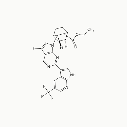 CCOC(=O)[C@@H]1C2CCC(CC2)[C@H]1n1cc(F)c2cnc(-c3c[nH]c4ncc(C(F)(F)F)cc34)nc21